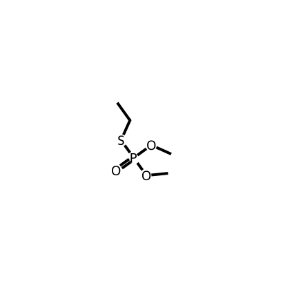 CCSP(=O)(OC)OC